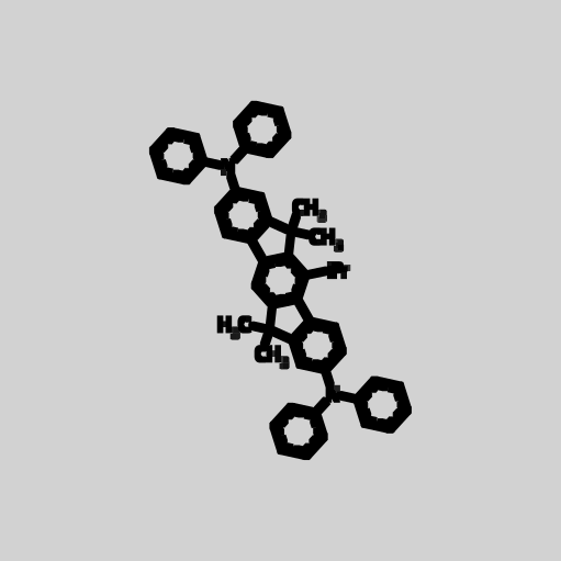 CC(C)c1c2c(cc3c1C(C)(C)c1cc(N(c4ccccc4)c4ccccc4)ccc1-3)C(C)(C)c1cc(N(c3ccccc3)c3ccccc3)ccc1-2